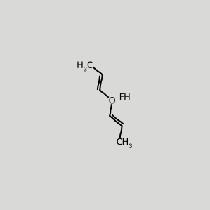 CC=COC=CC.F